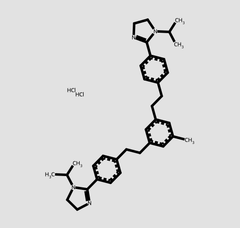 Cc1cc(CCc2ccc(C3=NCCN3C(C)C)cc2)cc(CCc2ccc(C3=NCCN3C(C)C)cc2)c1.Cl.Cl